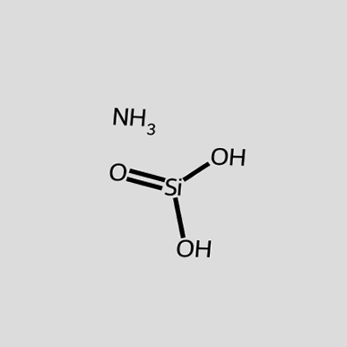 N.O=[Si](O)O